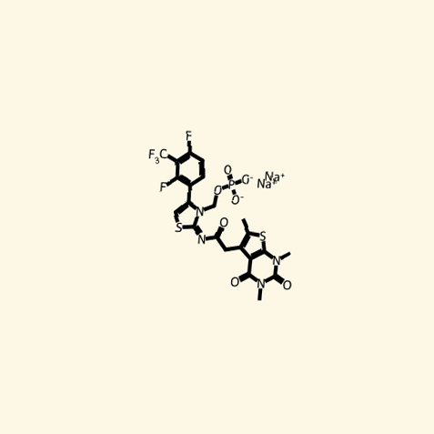 Cc1sc2c(c1CC(=O)N=c1scc(-c3ccc(F)c(C(F)(F)F)c3F)n1COP(=O)([O-])[O-])c(=O)n(C)c(=O)n2C.[Na+].[Na+]